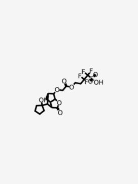 O=C(COC1C2CC3C1OC(=O)C3C2C1(O)CCCC1)OCCC(F)(F)C(F)(F)S(=O)(=O)O